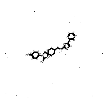 O=C1OC2(CCC(CNc3nc(-c4ccccn4)cs3)CC2)CN1c1ccc(F)cc1